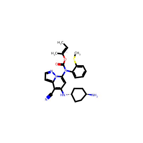 C/C=C(\C)OC(=O)N(c1ccccc1SC)c1cc(N[C@H]2CC[C@H](N)CC2)c(C#N)c2ccnn12